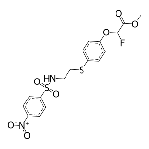 COC(=O)C(F)Oc1ccc(SCCNS(=O)(=O)c2ccc([N+](=O)[O-])cc2)cc1